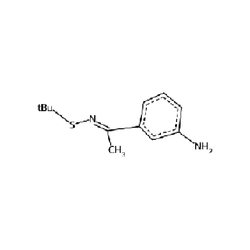 C/C(=N\SC(C)(C)C)c1cccc(N)c1